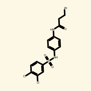 CC(C)CCC(=O)Nc1ccc(NS(=O)(=O)c2ccc(Cl)c(Cl)c2)cc1